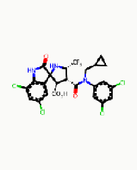 O=C(O)[C@@H]1[C@@H](C(=O)N(CC2CC2)c2cc(Cl)cc(Cl)c2)[C@@H](C(F)(F)F)NC12C(=O)Nc1c(Cl)cc(Cl)cc12